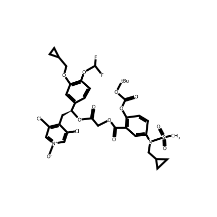 CC(C)(C)OC(=O)Oc1ccc(N(CC2CC2)S(C)(=O)=O)cc1C(=O)OCC(=O)O[C@@H](Cc1c(Cl)c[n+]([O-])cc1Cl)c1ccc(OC(F)F)c(OCC2CC2)c1